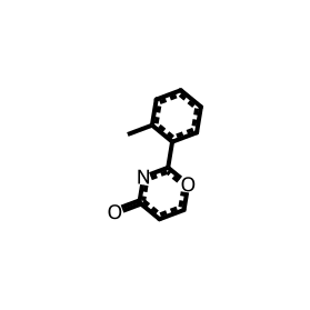 Cc1ccccc1-c1nc(=O)cco1